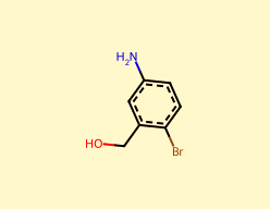 Nc1ccc(Br)c(CO)c1